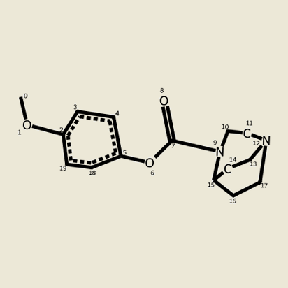 COc1ccc(OC(=O)N2CCN3CCC2CC3)cc1